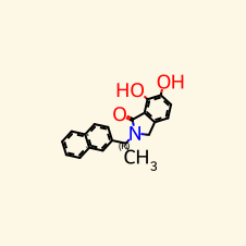 C[C@H](c1ccc2ccccc2c1)N1Cc2ccc(O)c(O)c2C1=O